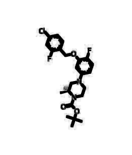 C[C@H]1CN(c2ccc(F)c(OCc3ccc(Cl)cc3F)c2)CCN1C(=O)OC(C)(C)C